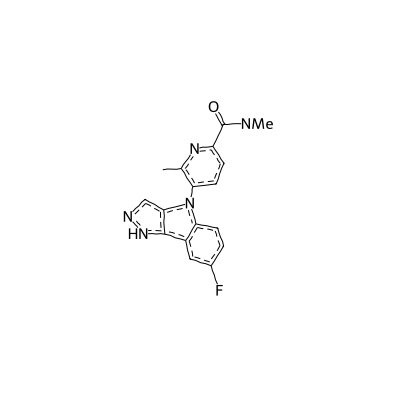 CNC(=O)c1ccc(-n2c3ccc(F)cc3c3[nH]ncc32)c(C)n1